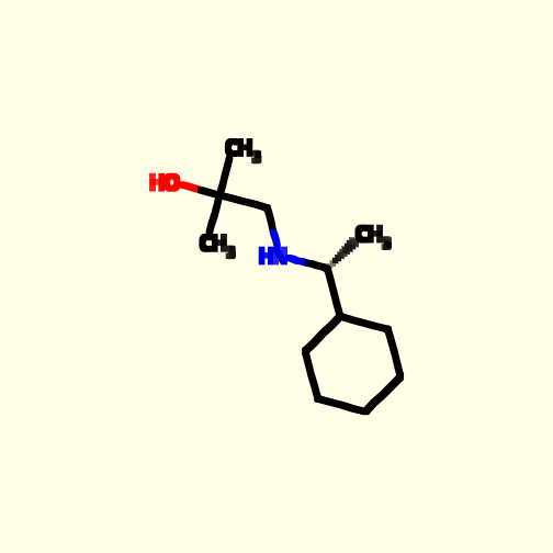 C[C@@H](NCC(C)(C)O)C1CCCCC1